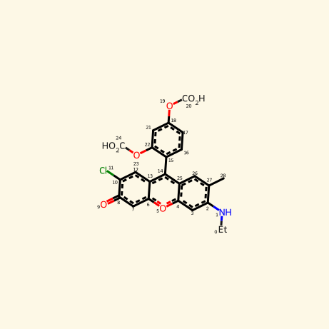 CCNc1cc2oc3cc(=O)c(Cl)cc-3c(-c3ccc(OC(=O)O)cc3OC(=O)O)c2cc1C